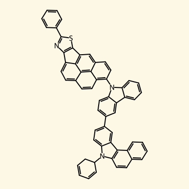 C1=CCC(n2c3ccc(-c4ccc5c(c4)c4ccccc4n5-c4ccc5cc6c7c(ccc8ccc4c5c87)-c4nc(-c5ccccc5)sc4-6)cc3c3c4ccccc4ccc32)C=C1